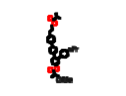 C=C(C)C(=O)OCCCc1ccc(-c2ccc(-c3ccc(OC(=O)C(=C)COC)cc3C3CCC(CCC)CC3)cc2)cc1